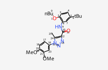 CCCCOc1ccc(C(C)(C)C)cc1NC(=O)c1nnn(-c2ccc(OC)c(OC)c2)c1C